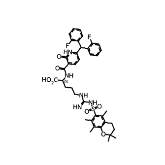 Cc1c(C)c(S(=O)(=O)NC(=N)NCCC[C@H](NC(=O)c2ccc(C(c3ccccc3F)c3ccccc3F)[nH]c2=O)C(=O)O)c(C)c2c1OC(C)(C)CC2